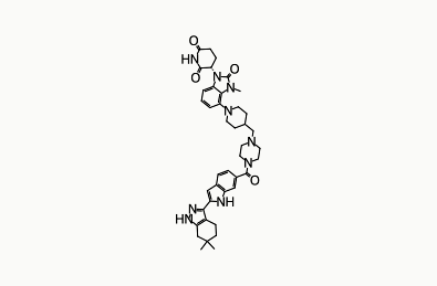 Cn1c(=O)n([C@H]2CCC(=O)NC2=O)c2cccc(N3CCC(CN4CCN(C(=O)c5ccc6cc(-c7n[nH]c8c7CCC(C)(C)C8)[nH]c6c5)CC4)CC3)c21